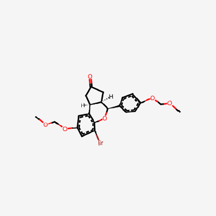 COCOc1ccc([C@H]2Oc3c(Br)cc(OCOC)cc3[C@H]3CC(=O)C[C@H]32)cc1